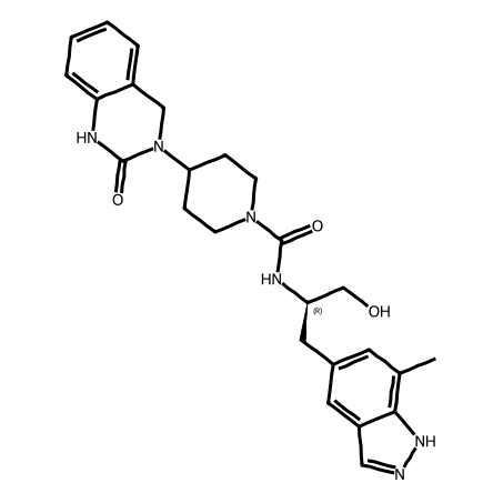 Cc1cc(C[C@H](CO)NC(=O)N2CCC(N3Cc4ccccc4NC3=O)CC2)cc2cn[nH]c12